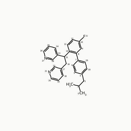 CC(C)Cc1ccc(-c2cc(F)ccc2C(Cc2cccnc2)c2cccnc2)cc1